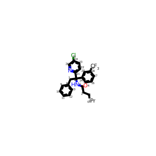 CC(C)CCC(=O)NC(Cc1ccccc1)(c1cccc(C(F)(F)F)c1)c1ccc(Cl)cn1